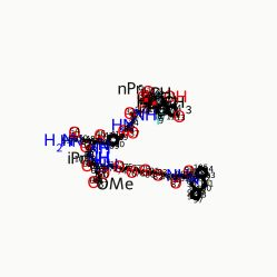 CCCC1O[C@@H]2C[C@H]3[C@@H]4C[C@H](F)C5=CC(=O)C=C[C@]5(C)[C@@]4(F)[C@@H](O)C[C@]3(C)[C@]2(C(=O)COCNC(=O)CNC(=O)OCc2ccc(NC(=O)[C@H](CCCNC(N)=O)NC(=O)[C@@H](NC(=O)[C@H](CCC(=O)OC)NC(=O)CCOCCOCCOCCOCCNC(=O)CCC(=O)N3Cc4ccccc4C#Cc4ccccc43)C(C)C)cc2)O1